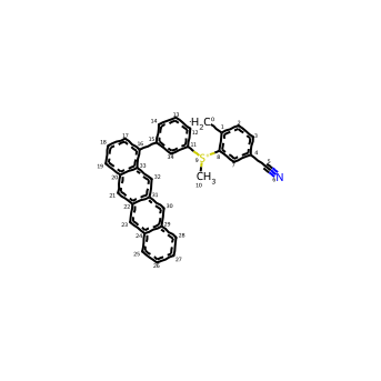 [CH2]c1ccc(C#N)cc1[S+](C)c1cccc(-c2cccc3cc4cc5ccccc5cc4cc23)c1